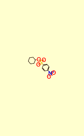 O=[N+]([O-])c1ccc(S(=O)(=O)OC2CCCCC2)cc1